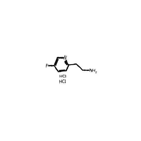 Cl.Cl.NCCc1ccc(F)cn1